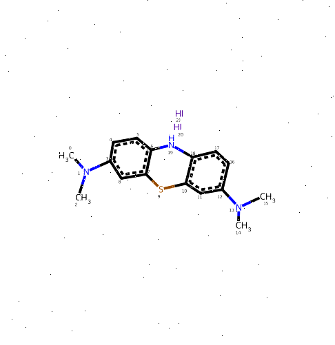 CN(C)c1ccc2c(c1)Sc1cc(N(C)C)ccc1N2.I.I